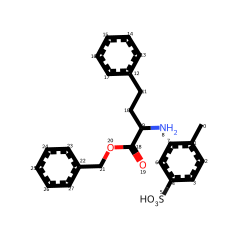 Cc1ccc(S(=O)(=O)O)cc1.NC(CCc1ccccc1)C(=O)OCc1ccccc1